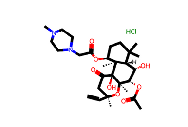 C=C[C@@]1(C)CC(=O)[C@]2(O)[C@@]3(C)[C@@H](OC(=O)CN4CCN(C)CC4)CCC(C)(C)[C@@H]3[C@H](O)[C@H](OC(C)=O)[C@@]2(C)O1.Cl